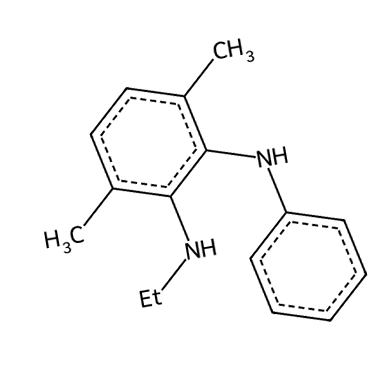 CCNc1c(C)ccc(C)c1Nc1ccccc1